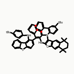 CC(C)(C)c1ccc(Nc2c(-c3c4c(cc5ccccc35)N(c3ccc(C(C)(C)C)cc3-c3ccccc3)c3c(oc5cc6c(cc35)C(C)(C)CCC6(C)C)B4)ccc3sc4ccccc4c23)cc1